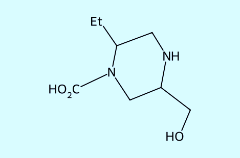 CCC1CNC(CO)CN1C(=O)O